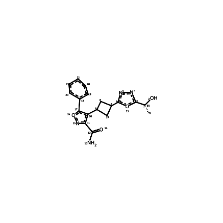 C[C@@H](O)c1nnc(C2CC(c3c(C(N)=O)noc3-c3ccccc3)C2)o1